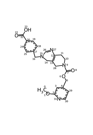 COc1cc(COC(=O)N2CCC3=C(CN(Cc4ccc(C(=O)O)cc4)C=N3)C2)ccn1